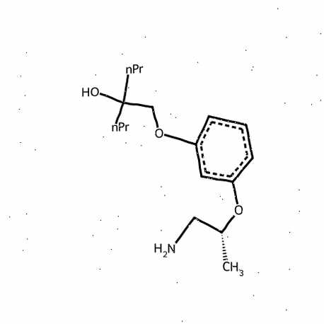 CCCC(O)(CCC)COc1cccc(O[C@H](C)CN)c1